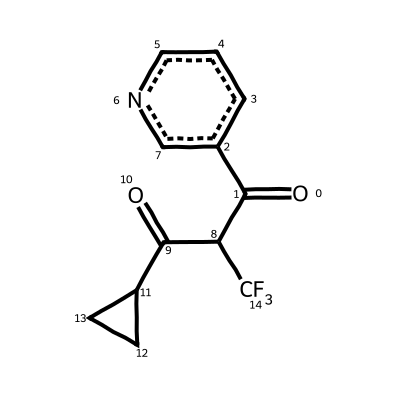 O=C(c1cccnc1)C(C(=O)C1CC1)C(F)(F)F